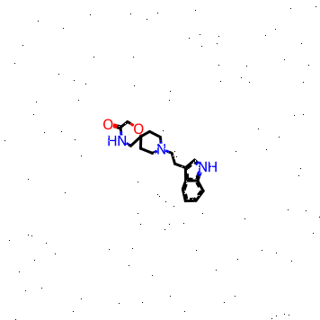 O=C1COC2(CCN(CCc3c[nH]c4ccccc34)CC2)CN1